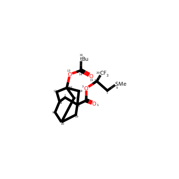 CSCC(OC(=O)C12CC3CC(CC(OC(=O)C(C)(C)C)(C3)C1)C2)C(F)(F)F